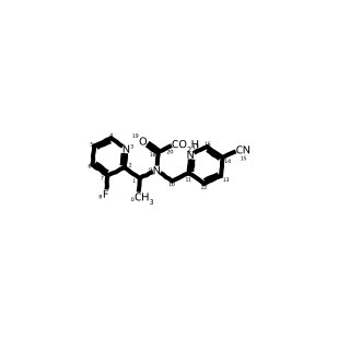 CC(c1ncccc1F)N(Cc1ccc(C#N)cn1)C(=O)C(=O)O